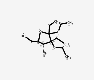 CCOC1(CC)O[C@H](CO)[C@@H](O)[C@@]1(CC)OCC